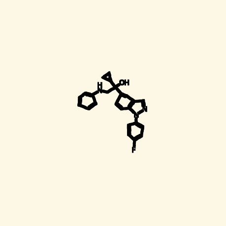 OC(CNc1ccccc1)(c1ccc2c(cnn2-c2ccc(F)cc2)c1)C1CC1